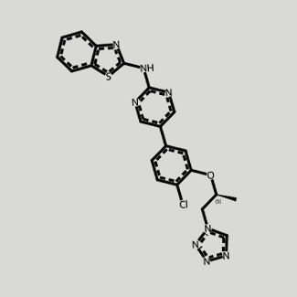 C[C@@H](Cn1cnnn1)Oc1cc(-c2cnc(Nc3nc4ccccc4s3)nc2)ccc1Cl